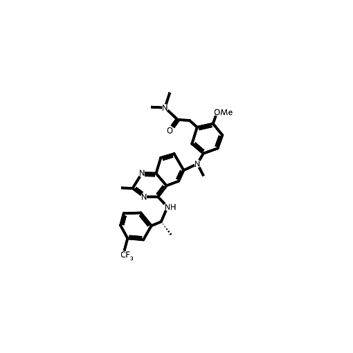 COc1ccc(N(C)c2ccc3nc(C)nc(N[C@H](C)c4cccc(C(F)(F)F)c4)c3c2)cc1CC(=O)N(C)C